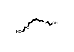 OCCOCC/C=C\CCOCCO